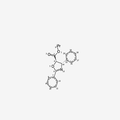 CC(C)OC(=O)[C@@H]1OC(c2ccccc2)=N[C@H]1c1ccccc1